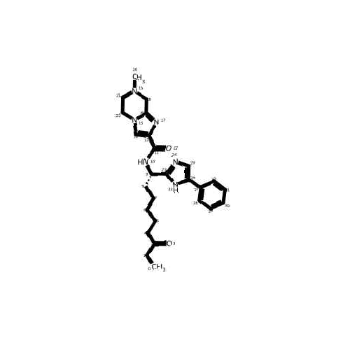 CCC(=O)CCCCC[C@H](NC(=O)c1cn2c(n1)CN(C)CC2)c1ncc(-c2ccccc2)[nH]1